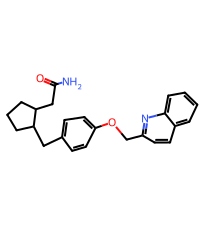 NC(=O)CC1CCCC1Cc1ccc(OCc2ccc3ccccc3n2)cc1